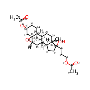 CC(=O)OCCC[C@]1(O)CC[C@H]2[C@@H]3C[C@@H]4O[C@@]45C[C@@H](OC(C)=O)CC[C@]5(C)[C@H]3CC[C@@]21C